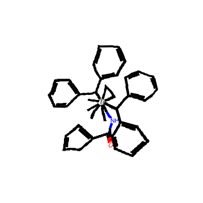 [CH3][Ti]1([CH3])([CH3])([CH3])([NH]C(=O)C2=CC=CC2)([CH](c2ccccc2)c2ccccc2)([CH](c2ccccc2)c2ccccc2)[CH2][CH2]1